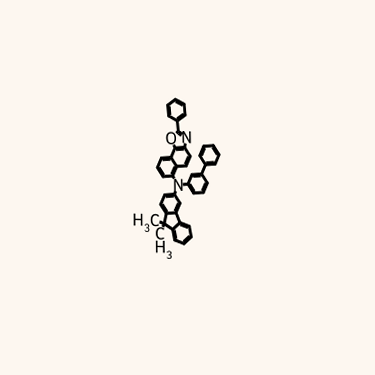 CC1(C)c2ccccc2-c2cc(N(c3cccc(-c4ccccc4)c3)c3cccc4c3ccc3nc(-c5ccccc5)oc34)ccc21